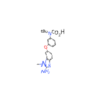 Cn1c(N)nc2ccc(Oc3cccc(N(C(=O)O)C(C)(C)C)c3)cc21